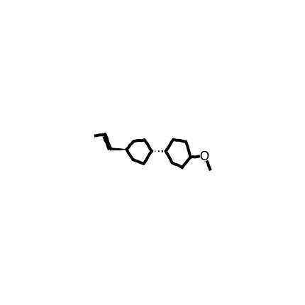 C/C=C/[C@H]1CC[C@H](C2CCC(OC)CC2)CC1